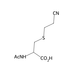 CC(=O)NC(CSCCC#N)C(=O)O